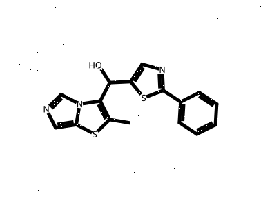 Cc1sc2cncn2c1C(O)c1cnc(-c2ccccc2)s1